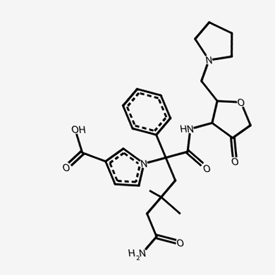 CC(C)(CC(N)=O)CC(C(=O)NC1C(=O)COC1CN1CCCC1)(c1ccccc1)n1ccc(C(=O)O)c1